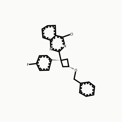 Fc1ccc([C@]2(c3nc(Cl)c4ccccc4n3)C[C@H](OCc3ccccc3)C2)cc1